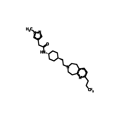 Cn1cc(CC(=O)N[C@H]2CC[C@H](CCN3CCc4ccc(CCC(F)(F)F)nc4CC3)CC2)cn1